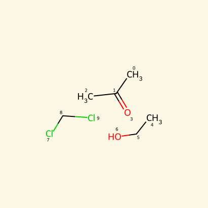 CC(C)=O.CCO.ClCCl